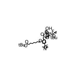 Cc1ncsc1-c1ccc(CNC(=O)[C@@H]2C[C@@H](O)CN2C(=O)C(NC(=O)C2(F)CC2)C(C)(C)C)c(OCCCCCCCC(=O)OC(C)(C)C)c1